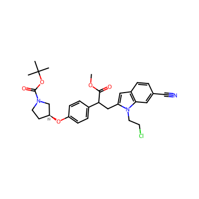 COC(=O)C(Cc1cc2ccc(C#N)cc2n1CCCl)c1ccc(O[C@H]2CCN(C(=O)OC(C)(C)C)C2)cc1